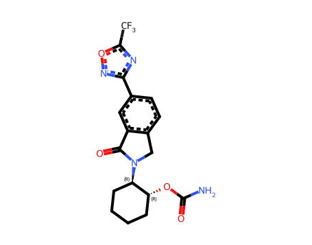 NC(=O)O[C@@H]1CCCC[C@H]1N1Cc2ccc(-c3noc(C(F)(F)F)n3)cc2C1=O